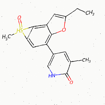 CCc1cc2c3c(cc(-c4c[nH]c(=O)c(C)c4)c2o1)[SH]3(C)=O